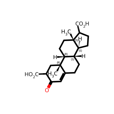 C[C@]12CC(C(=O)O)C(=O)C=C1CC[C@@H]1[C@H]2CC[C@]2(C)C(C(=O)O)CC[C@@H]12